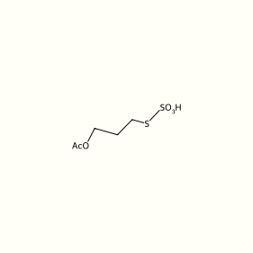 CC(=O)OCCCSS(=O)(=O)O